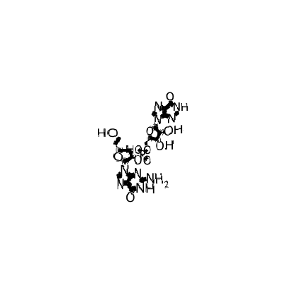 Nc1nc2c(ncn2[C@@H]2O[C@H](CCO)C[C@H]2OP(=O)(O)OC[C@H]2O[C@@H](n3cnc4c(=O)[nH]cnc43)[C@H](O)[C@@H]2O)c(=O)[nH]1